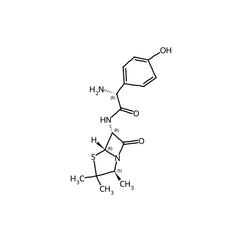 C[C@@H]1N2C(=O)[C@@H](NC(=O)[C@H](N)c3ccc(O)cc3)[C@H]2SC1(C)C